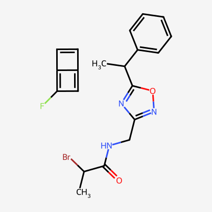 CC(Br)C(=O)NCc1noc(C(C)c2ccccc2)n1.Fc1cc2ccc1-2